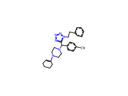 N#Cc1ccc(C(c2nnnn2CCc2ccccc2)N2CCN(C3=CCCCC3)CC2)cc1